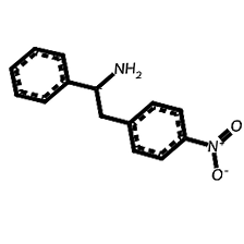 N[C](Cc1ccc([N+](=O)[O-])cc1)c1ccccc1